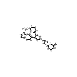 Cc1cccc(-n2nc(NCc3cccc(F)c3)cc2-c2ccn3ncnc3c2)n1